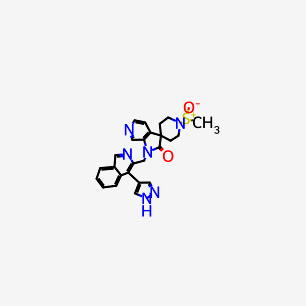 C[S+]([O-])N1CCC2(CC1)C(=O)N(Cc1ncc3ccccc3c1-c1cn[nH]c1)c1cnccc12